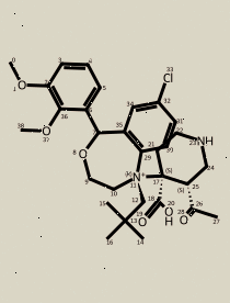 COc1cccc(C2OCC[N@@+](CC(C)(C)C)([C@@]3(C(=O)O)CCNC[C@@H]3C(C)=O)c3ccc(Cl)cc32)c1OC